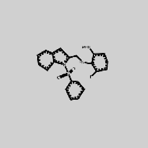 COc1cccc(F)c1NCc1cc2ccccc2n1S(=O)(=O)c1ccccc1